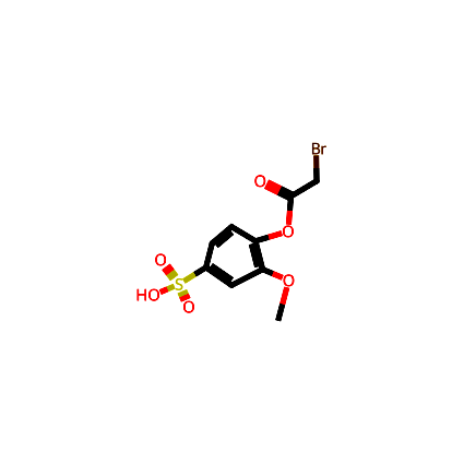 COc1cc(S(=O)(=O)O)ccc1OC(=O)CBr